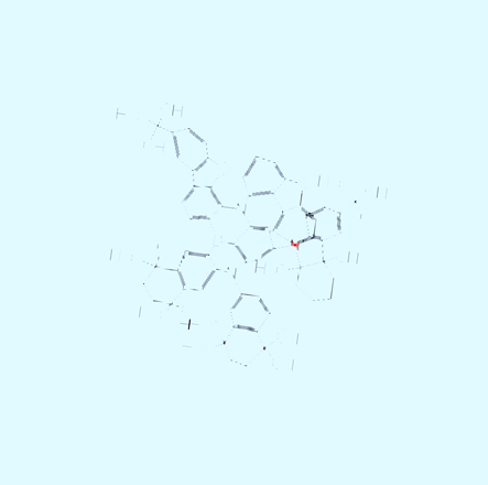 CC(C)(C)c1ccc2c(c1)C1(C)CCCCC1(C)N2c1cc2c3c(c1)N(c1cccc4sc5ccccc5c14)c1c(ccc4c1oc1ccc(C(C)(C)C)cc14)B3c1cc3c(cc1N2c1ccc2c(c1)C(C)(C)CCC2(C)C)C(C)(C)CCC3(C)C